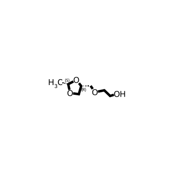 C[C@H]1OC[C@@H](COCCO)O1